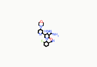 N#Cc1cccc(F)c1-n1cc(-c2cc(N3CCOCC3)ccn2)c2[nH]nc(N)c2c1=O